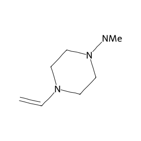 C=CN1CCN(NC)CC1